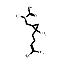 CC(C)=CCCC1(C)CC1CN(C)C(=O)C(C)C